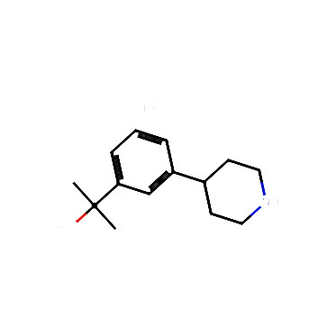 CC(C)(O)c1cccc(C2CCNCC2)c1.Cl